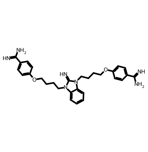 N=C(N)c1ccc(OCCCCn2c(=N)n(CCCCOc3ccc(C(=N)N)cc3)c3ccccc32)cc1